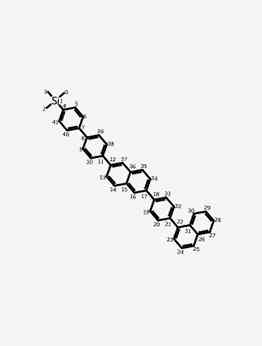 C[Si](C)(C)c1ccc(-c2ccc(-c3ccc4cc(-c5ccc(-c6cccc7ccccc67)cc5)ccc4c3)cc2)cc1